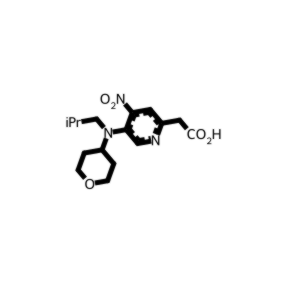 CC(C)CN(c1cnc(CC(=O)O)cc1[N+](=O)[O-])C1CCOCC1